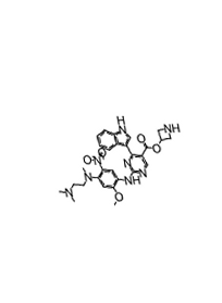 COc1cc(N(C)CCN(C)C)c([N+](=O)[O-])cc1Nc1ncc(C(=O)OC2CNC2)c(-c2c[nH]c3ccccc23)n1